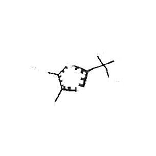 CCCCCCCC(C)(CCCC)c1nc(OC)c(I)o1